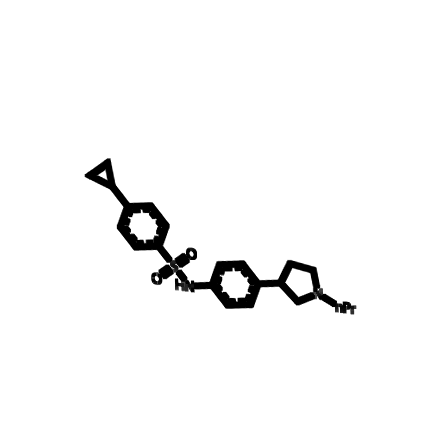 CCCN1CCC(c2ccc(NS(=O)(=O)c3ccc(C4CC4)cc3)cc2)C1